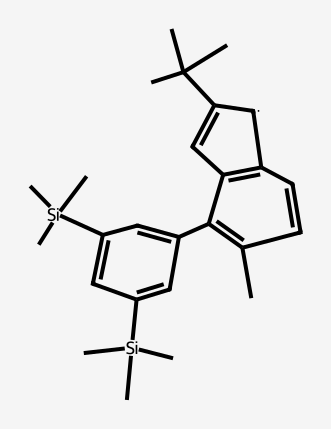 Cc1ccc2c(c1-c1cc([Si](C)(C)C)cc([Si](C)(C)C)c1)C=C(C(C)(C)C)[CH]2